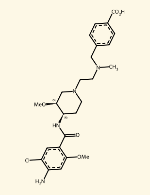 COc1cc(N)c(Cl)cc1C(=O)N[C@@H]1CCN(CCN(C)Cc2ccc(C(=O)O)cc2)C[C@@H]1OC